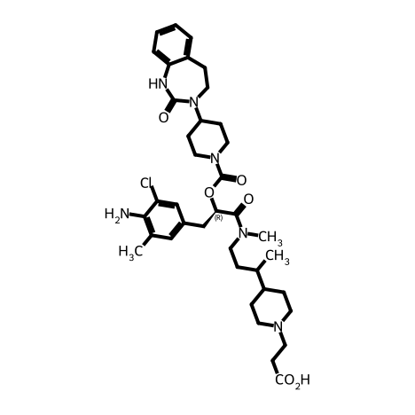 Cc1cc(C[C@@H](OC(=O)N2CCC(N3CCc4ccccc4NC3=O)CC2)C(=O)N(C)CCC(C)C2CCN(CCC(=O)O)CC2)cc(Cl)c1N